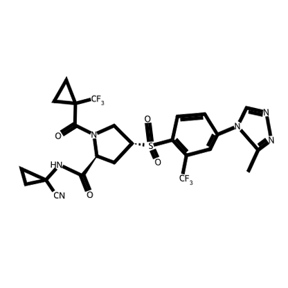 Cc1nncn1-c1ccc(S(=O)(=O)[C@@H]2C[C@@H](C(=O)NC3(C#N)CC3)N(C(=O)C3(C(F)(F)F)CC3)C2)c(C(F)(F)F)c1